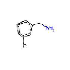 [CH2]C(C)c1cccc(CN)c1